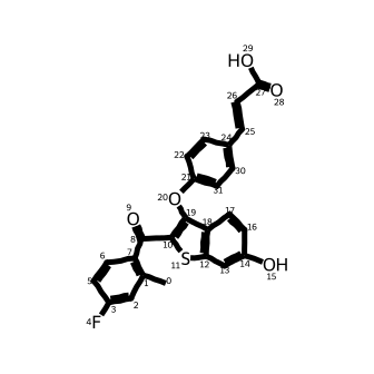 Cc1cc(F)ccc1C(=O)c1sc2cc(O)ccc2c1Oc1ccc(C=CC(=O)O)cc1